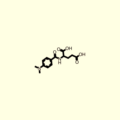 CN(C)c1ccc(C(=O)NC(CCC(=O)O)C(=O)O)cc1